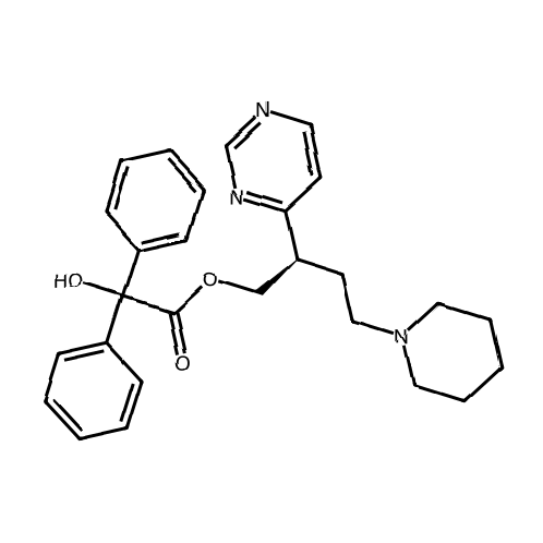 O=C(OC[C@H](CCN1CCCCC1)c1ccncn1)C(O)(c1ccccc1)c1ccccc1